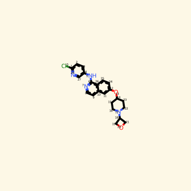 Clc1ccc(Nc2nccc3cc(OC4CCN(C5COC5)CC4)ccc23)cn1